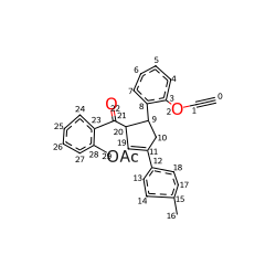 C#COc1ccccc1C1CC(c2ccc(C)cc2)=CC1C(=O)c1ccccc1OC(C)=O